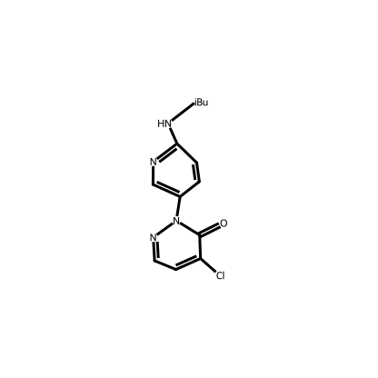 CCC(C)Nc1ccc(-n2nccc(Cl)c2=O)cn1